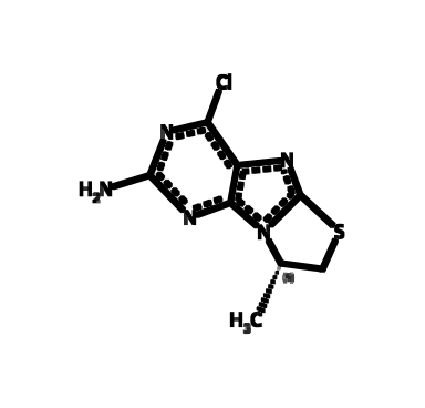 C[C@H]1CSc2nc3c(Cl)nc(N)nc3n21